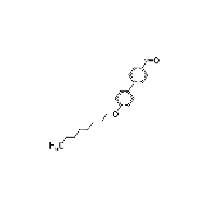 CCCCCCCCOc1ccc(-c2ccc([C]=O)cc2)cc1